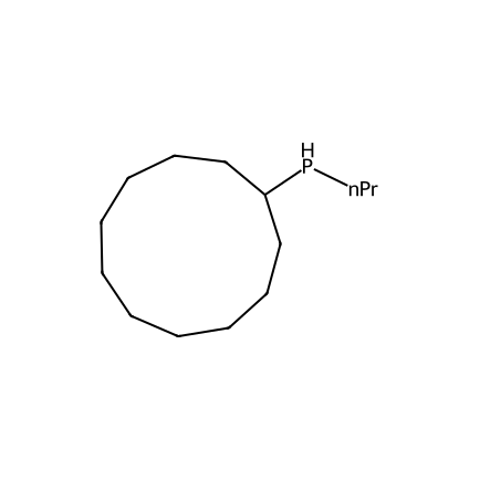 CCCPC1CCCCCCCCCC1